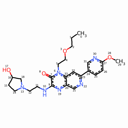 CCCOCCn1c(=O)c(NCCN2CCC(O)C2)nc2cnc(-c3ccc(OC)nc3)cc21